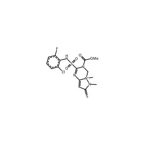 COC(=O)N1C[N+]2(C)C(=CC(=S)N2C)N=C1S(=O)(=O)Nc1c(F)cccc1Cl